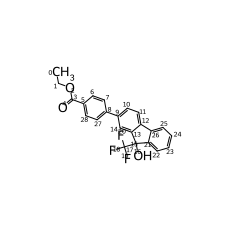 CCOC(=O)c1ccc(-c2ccc3c(c2)C(O)(C(F)(F)F)c2ccccc2-3)cc1